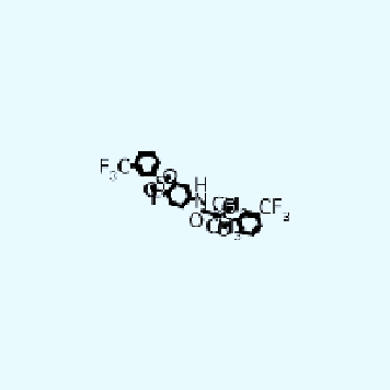 CC(C)(C(=O)NC1CCC(F)(S(=O)(=O)c2cccc(C(F)(F)F)c2)CC1)S(=O)(=O)c1cccc(C(F)(F)F)c1